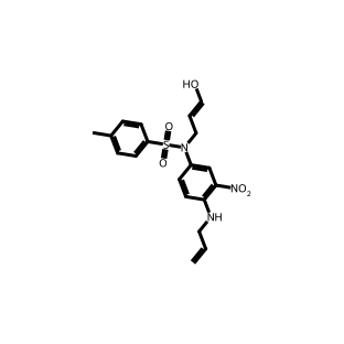 C=CCNc1ccc(N(CC=CO)S(=O)(=O)c2ccc(C)cc2)cc1[N+](=O)[O-]